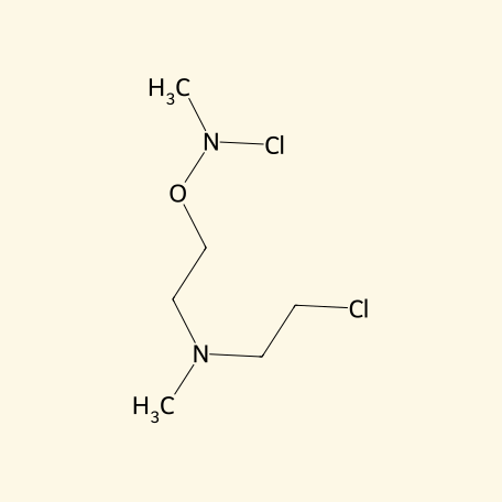 CN(CCCl)CCON(C)Cl